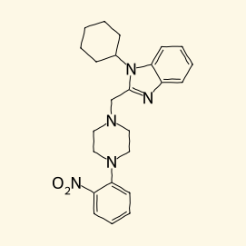 O=[N+]([O-])c1ccccc1N1CCN(Cc2nc3ccccc3n2C2CCCCC2)CC1